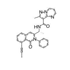 CC#Cc1cccc2cc([C@@H](C)NC(=O)c3c(C)nn4cccnc34)n(-c3ccccc3)c(=O)c12